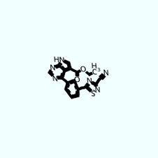 CCOC(=O)c1c[nH]c2ncnc(-c3cccc(-c4nc(C#N)ns4)c3)c12